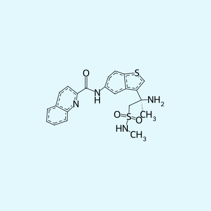 CNS(=O)(=O)C[C@](C)(N)c1csc2ccc(NC(=O)c3ccc4ccccc4n3)cc12